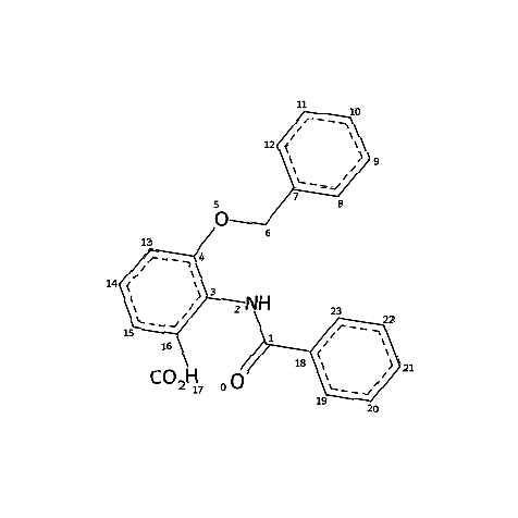 O=C(Nc1c(OCc2ccccc2)cccc1C(=O)O)c1ccccc1